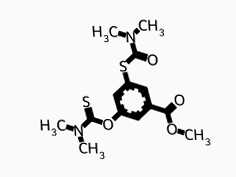 COC(=O)c1cc(OC(=S)N(C)C)cc(SC(=O)N(C)C)c1